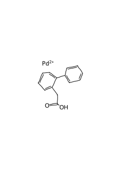 O=C(O)Cc1ccccc1-c1ccccc1.[Pd+2]